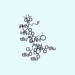 Cc1ccccc1C[C@H](NC(=O)[C@H](CCC(=O)OC(C)(C)C)NC(=O)[C@H](CC(=O)OC(C)(C)C)NC(=O)OC(C)(C)C)C(=O)N[C@H](C(=O)N[C@@H](CC(C)C)C(=O)NC(CCCF)B1OC(C)(C)C(C)(C)O1)C(C)(C)C